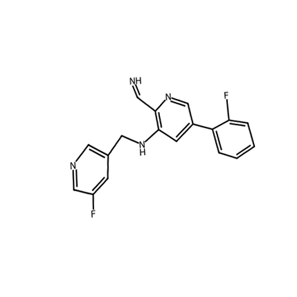 N=Cc1ncc(-c2ccccc2F)cc1NCc1cncc(F)c1